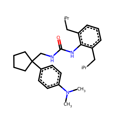 CC(C)Cc1cccc(CC(C)C)c1NC(=O)NCC1(c2ccc(N(C)C)cc2)CCCC1